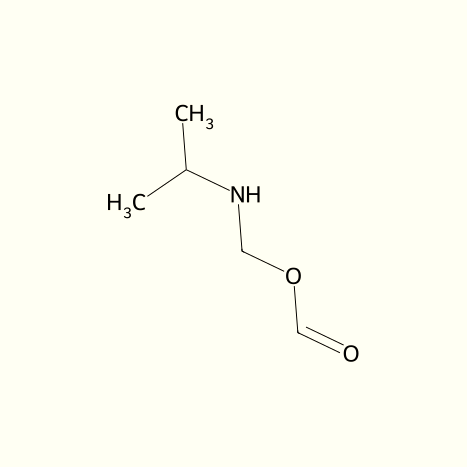 CC(C)NCOC=O